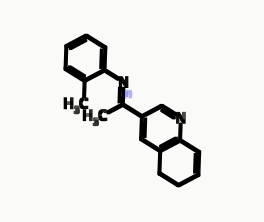 C/C(=N\c1ccccc1C)c1cnc2c(c1)CCC=C2